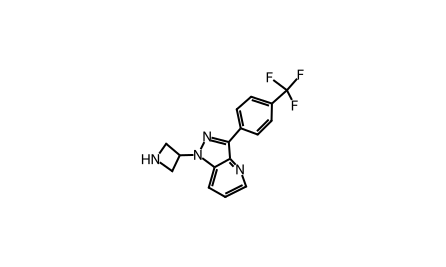 FC(F)(F)c1ccc(-c2nn(C3CNC3)c3cccnc23)cc1